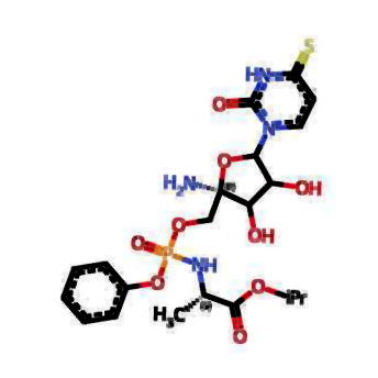 CC(C)OC(=O)[C@H](C)NP(=O)(OC[C@@]1(N)OC(n2ccc(=S)[nH]c2=O)C(O)C1O)Oc1ccccc1